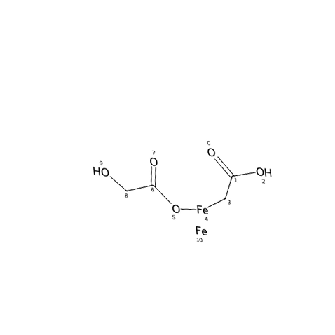 O=C(O)[CH2][Fe][O]C(=O)CO.[Fe]